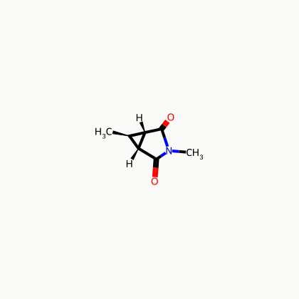 C[C@@H]1[C@H]2C(=O)N(C)C(=O)[C@@H]12